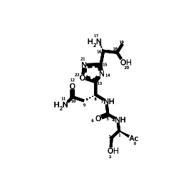 CC(=O)[C@@H](CO)NC(=O)N[C@H](CC(N)=O)c1nc([C@H](N)C(C)O)no1